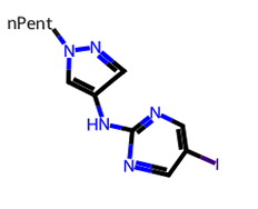 CCCCCn1cc(Nc2ncc(I)cn2)cn1